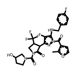 Cc1occc1C(=O)n1nc(C2C(=O)N(C(=O)N3CCC(O)C3)CC2C(F)(F)F)c(F)c1NCc1ccc(F)cc1